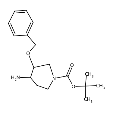 CC(C)(C)OC(=O)N1CCC(N)C(OCc2ccccc2)C1